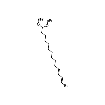 CCC=CC=CCCCCCCCCCC(OCCC)OCCC